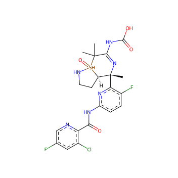 CC1(C)C(NC(=O)O)=N[C@](C)(c2nc(NC(=O)c3ncc(F)cc3Cl)ccc2F)[C@H]2CCN[SH]21=O